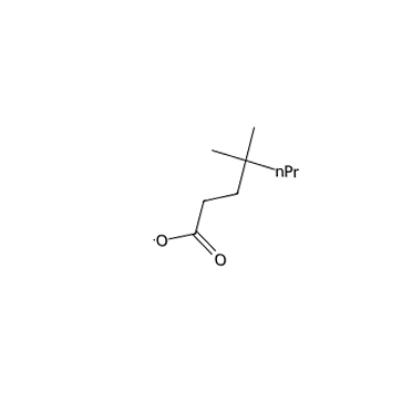 CCCC(C)(C)CCC([O])=O